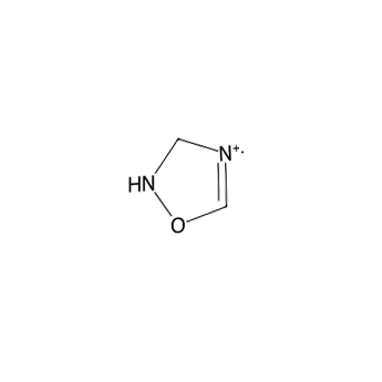 C1=[N+]CNO1